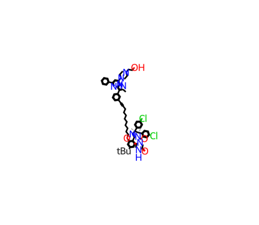 Cc1nn2c(N3CCN(CCO)CC3)cc(-c3ccccc3)nc2c1-c1cccc(C#CCCCCCCCCCOc2cc(C(C)(C)C)ccc2C2=N[C@@](C)(c3ccc(Cl)cc3)[C@@](C)(c3ccc(Cl)cc3)N2C(=O)N2CCNC(=O)C2)c1